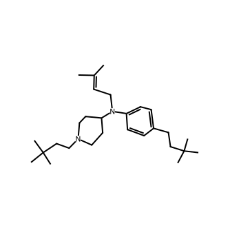 CC(C)=CCN(c1ccc(CCC(C)(C)C)cc1)C1CCN(CCC(C)(C)C)CC1